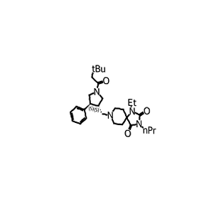 CCCN1C(=O)N(CC)C2(CCN(C[C@H]3CN(C(=O)CC(C)(C)C)C[C@@H]3c3ccccc3)CC2)C1=O